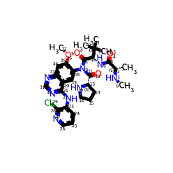 CN[C@@H](C)C(=O)N[C@H](C(=O)N(C(=O)[C@@H]1CCCN1)c1cc2c(Nc3cccnc3Cl)ncnc2cc1OC)C(C)(C)C